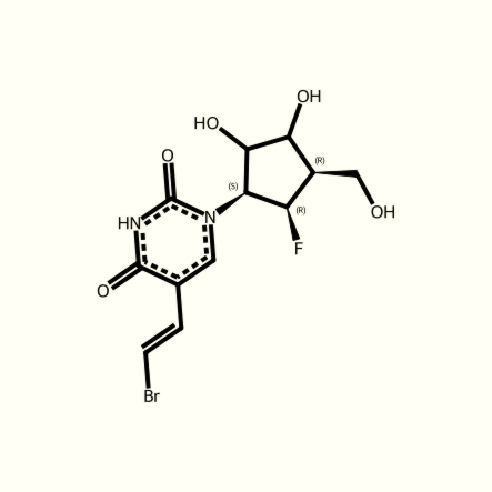 O=c1[nH]c(=O)n([C@H]2C(O)C(O)[C@@H](CO)[C@H]2F)cc1C=CBr